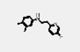 Cc1ccc(NCCc2ccc(F)cn2)cc1C